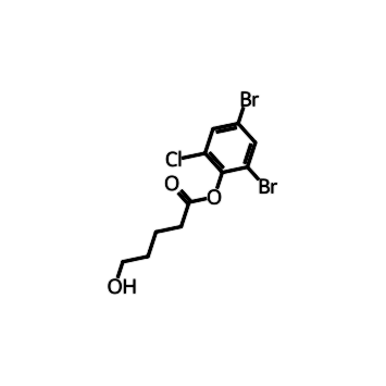 O=C(CCCCO)Oc1c(Cl)cc(Br)cc1Br